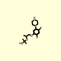 CC(COc1cc(N2CCNCC2)c(F)cc1F)OC(C)(C)O